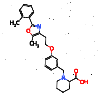 Cc1ccccc1-c1nc(CCOc2cccc(CN3CCCCC3C(=O)O)c2)c(C)o1